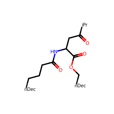 CCCCCCCCCCCCCC(=O)NC(CC(=O)C(C)C)C(=O)OCCCCCCCCCCC